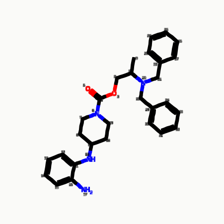 CC(COC(=O)N1CCC(Nc2ccccc2N)CC1)N(Cc1ccccc1)Cc1ccccc1